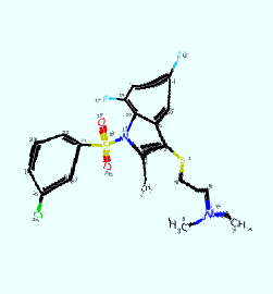 Cc1c(SCCN(C)C)c2cc(F)cc(F)c2n1S(=O)(=O)c1cccc(Cl)c1